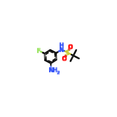 CC(C)(C)S(=O)(=O)Nc1cc(N)cc(F)c1